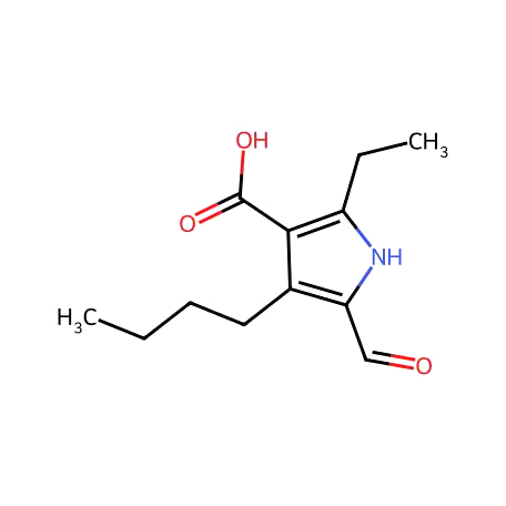 CCCCc1c(C=O)[nH]c(CC)c1C(=O)O